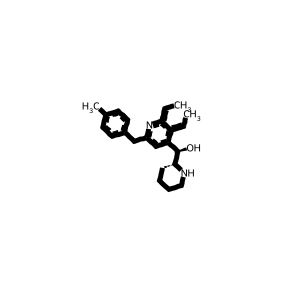 C/C=c1/c([C@@H](O)[C@H]2CCCCN2)cc(Cc2ccc(C)cc2)n/c1=C/C